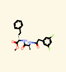 COC(=O)[C@H](CCc1ccccc1)NC(=O)[C@H](C)NC(=O)Cc1cc(F)cc(F)c1